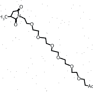 CC(=O)CCOCCOCCOCCOCCOCCOCCN1C(=O)CC(C)C1=O